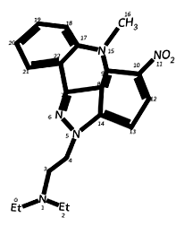 CCN(CC)CCn1nc2c3c(c([N+](=O)[O-])ccc31)N(C)c1ccccc1-2